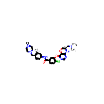 CCN1CCN(Cc2ccc(NC(=O)c3ccc(Cl)c(Oc4ncnc5c4OC[C@@H](CN(C)C)N5)c3)cc2C(F)(F)F)CC1